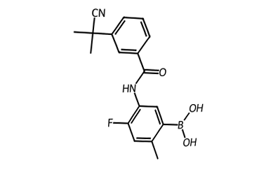 Cc1cc(F)c(NC(=O)c2cccc(C(C)(C)C#N)c2)cc1B(O)O